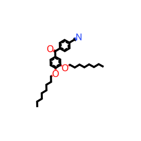 CCCCCCCCOc1ccc(C(=O)c2ccc(C#N)cc2)cc1OCCCCCCCC